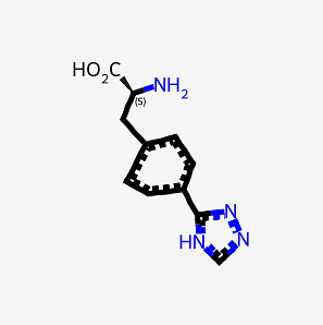 N[C@@H](Cc1ccc(-c2nnc[nH]2)cc1)C(=O)O